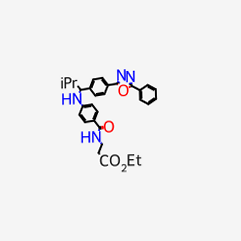 CCOC(=O)CCNC(=O)c1ccc(NC(c2ccc(-c3nnc(-c4ccccc4)o3)cc2)C(C)C)cc1